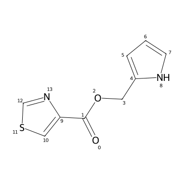 O=C(OCc1ccc[nH]1)c1cscn1